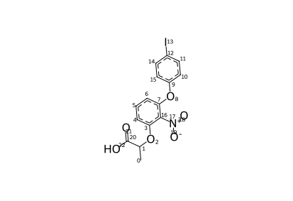 CC(Oc1cccc(Oc2ccc(I)cc2)c1[N+](=O)[O-])C(=O)O